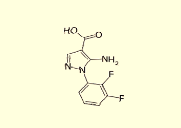 Nc1c(C(=O)O)cnn1-c1cccc(F)c1F